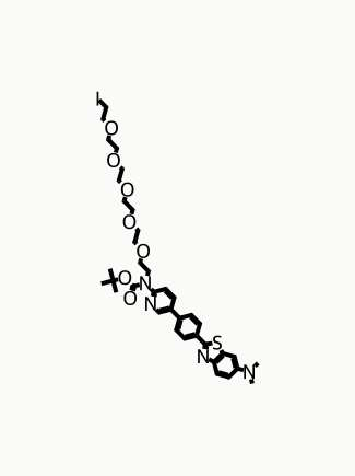 CN(C)c1ccc2nc(-c3ccc(-c4ccc(N(CCOCCOCCOCCOCCOCCI)C(=O)OC(C)(C)C)nc4)cc3)sc2c1